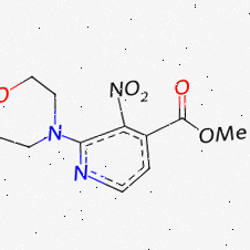 COC(=O)c1ccnc(N2CCOCC2)c1[N+](=O)[O-]